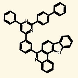 c1ccc(-c2ccc(-c3nc(-c4ccccc4)cc(-c4cccc(-c5nc6ccccc6c6c5ccc5c7ccccc7oc56)c4)n3)cc2)cc1